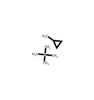 CC1CC1.C[N+](C)(C)C